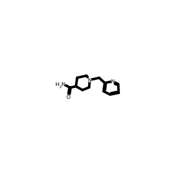 NC(=O)C1CCN(Cc2ccccn2)CC1